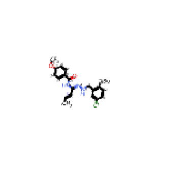 C/C=C/C(=N\NCc1cc(Cl)ccc1OCC(C)C)NC(=O)c1ccc(OC(F)(F)F)cc1